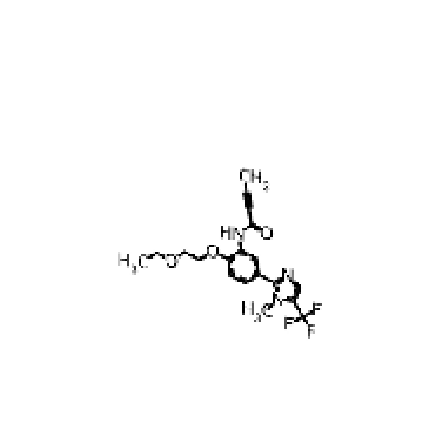 CC#CC(=O)Nc1cc(-c2ncc(C(F)(F)F)n2C)ccc1OCCOCC